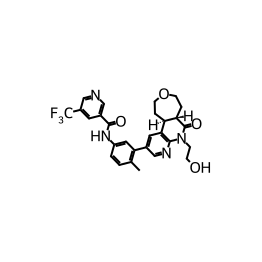 Cc1ccc(NC(=O)c2cncc(C(F)(F)F)c2)cc1-c1cnc2c(c1)[C@H]1CCOCC[C@@H]1C(=O)N2CCO